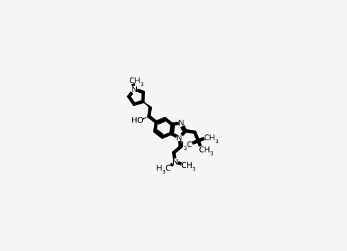 CN(C)CCn1c(CC(C)(C)C)nc2cc([C@H](O)C[C@H]3CCN(C)C3)ccc21